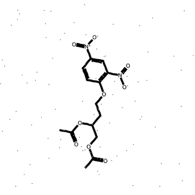 CC(=O)OCC(CCOc1ccc([N+](=O)[O-])cc1[N+](=O)[O-])OC(C)=O